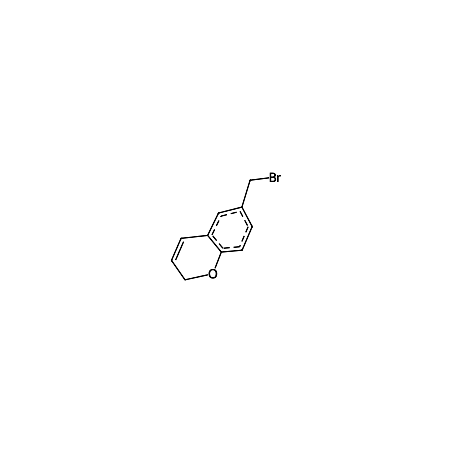 BrCc1ccc2c(c1)C=CCO2